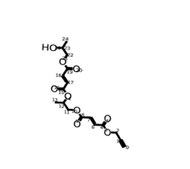 C#CCOC(=O)/C=C/C(=O)OCC(C)OC(=O)/C=C/C(=O)OCC(C)O